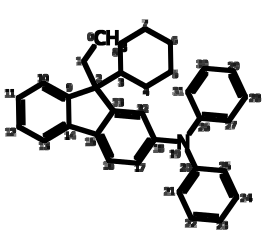 CCC1(C2CCCCC2)c2ccccc2-c2ccc(N(c3ccccc3)c3ccccc3)cc21